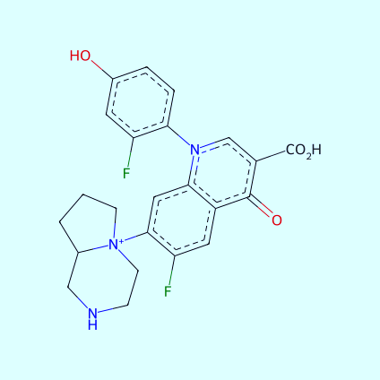 O=C(O)c1cn(-c2ccc(O)cc2F)c2cc([N+]34CCCC3CNCC4)c(F)cc2c1=O